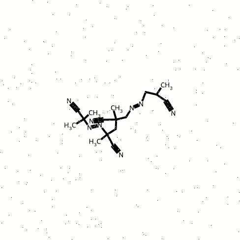 CC(C#N)CN=NCC(C)(C#N)CC(C)(C#N)N=NC(C)(C)C#N